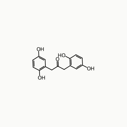 O=C(Cc1cc(O)ccc1O)Cc1cc(O)ccc1O